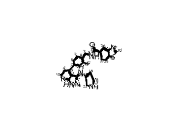 O=C(NCc1ccc(-c2ccnc3[nH]nc(N[C@@H]4CCNC4)c23)cc1F)c1ccc2scnc2c1